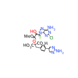 CO[C@H](COC(Cc1ccc(-c2cnc(N)nc2)cc1)(C(=O)O)C(=O)O)[C@@H](O)[C@H](F)n1cnc2c(N)nc(Cl)nc21